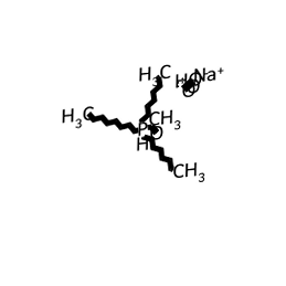 CCCCCCCC[PH](CCCCCCCC)(CCCCCCCC)C(C)=O.[C]=O.[C]=O.[Na+].[OH-]